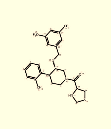 Cc1ccccc1[C@@H]1CCN(C(=O)C2CSCN2)C[C@@H]1OCc1cc(C(F)(F)F)cc(C(F)(F)F)c1